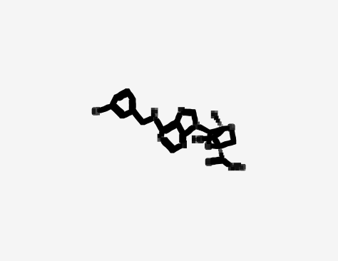 CNC(=O)[C@@]12CO[C@@H](C1O)[C@H](n1cnc3c(NCc4cccc(Cl)c4)ncnc31)O2